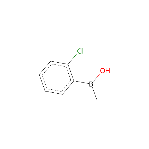 CB(O)c1ccccc1Cl